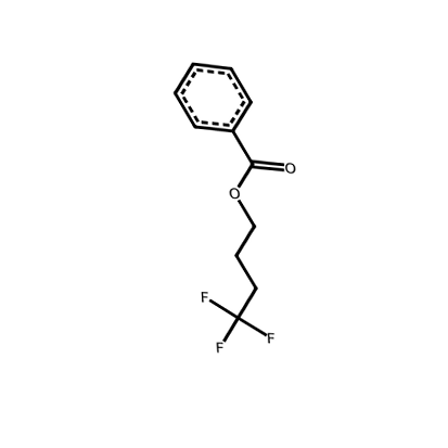 O=C(OCCCC(F)(F)F)c1ccccc1